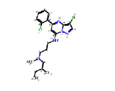 CCC(C)CN(C)CCCNc1cc(-c2ccccc2Cl)nc2c(Br)cnn12